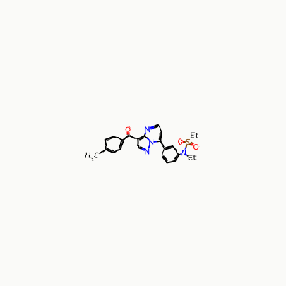 CCN(c1cccc(-c2ccnc3c(C(=O)c4ccc(C)cc4)cnn23)c1)S(=O)(=O)CC